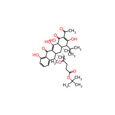 CC(=O)C1=C(O)C(C(C)C)[C@@]2(C)[C@H](CC(=O)CCC(=O)OC(C)(C)C)[C@]3(C)C(=C(O)[C@@]2(O)C1=O)C(=O)c1c(O)cccc1[C@H]3C